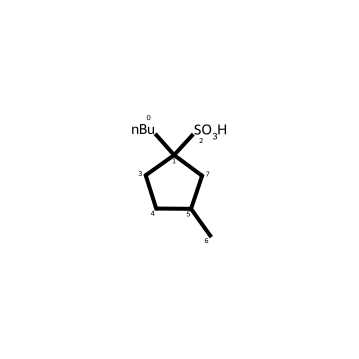 CCCCC1(S(=O)(=O)O)CCC(C)C1